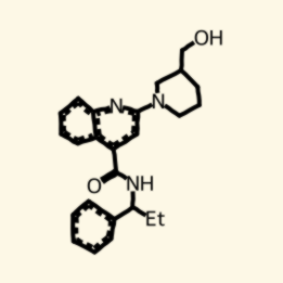 CCC(NC(=O)c1cc(N2CCCC(CO)C2)nc2ccccc12)c1ccccc1